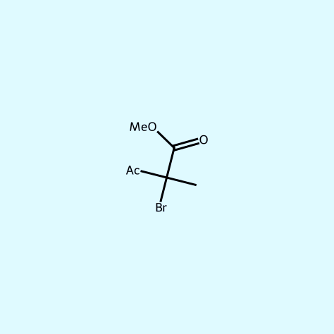 COC(=O)C(C)(Br)C(C)=O